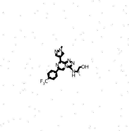 C[C@@H](CO)Nc1nnc2c(-c3cnn(C)c3)nc(-c3ccc(C(F)(F)F)cc3)cn12